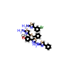 COc1ccc(C2CSC(N)=N2)cc1.NC1=NC(CSCc2ccccc2)CS1.NC1=NC(c2cccc(Br)c2)CS1.NC1=NC(c2ccccc2)CS1